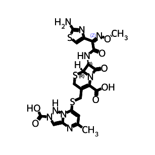 CO/N=C(\C(=O)N[C@@H]1C(=O)N2C(C(=O)O)=C(CSC3=CC(C)=NC4=CN(C(=O)O)NN43)CS[C@H]12)c1csc(N)n1